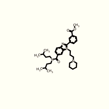 COC(=O)c1cccc(-c2nc3ccc(C(=O)N(CCC(C)C)CCC(C)C)cc3n2CCCN2CCCCC2)c1